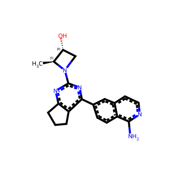 C[C@H]1[C@H](O)CN1c1nc2c(c(-c3ccc4c(N)nccc4c3)n1)CCC2